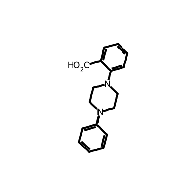 O=C(O)c1ccccc1N1CCN(c2ccccc2)CC1